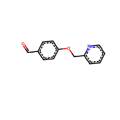 O=[C]c1ccc(OCc2ccccn2)cc1